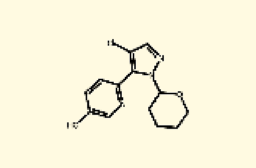 Oc1ccc(-c2c(Cl)cnn2C2CCCCO2)nc1